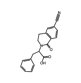 N#Cc1ccc2c(c1)CCN(C(Cc1ccccc1)C(=O)O)C2=O